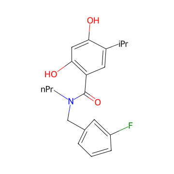 CCCN(Cc1cccc(F)c1)C(=O)c1cc(C(C)C)c(O)cc1O